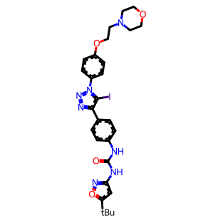 CC(C)(C)c1cc(NC(=O)Nc2ccc(-c3nnn(-c4ccc(OCCN5CCOCC5)cc4)c3I)cc2)no1